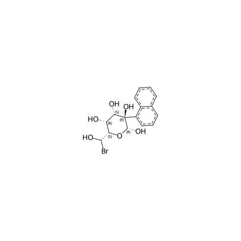 OC(Br)[C@H]1O[C@@H](O)[C@@](O)(c2cccc3ccccc23)[C@@H](O)[C@H]1O